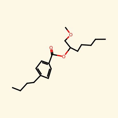 CCCCCC(COC)OC(=O)c1ccc(CCCC)cc1